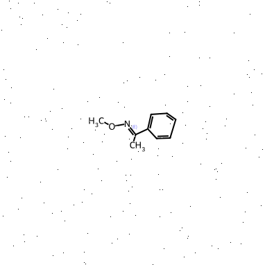 CO/N=C(\C)c1ccccc1